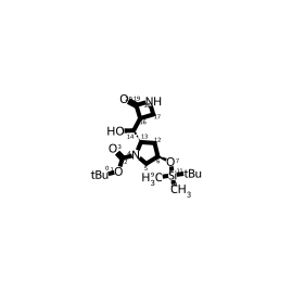 CC(C)(C)OC(=O)N1C[C@H](O[Si](C)(C)C(C)(C)C)C[C@H]1C(O)C1CNC1=O